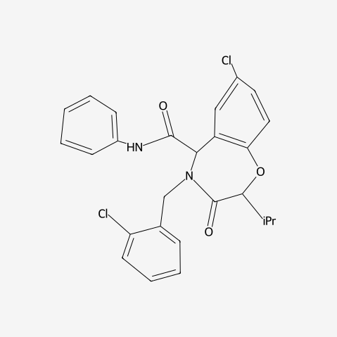 CC(C)C1Oc2ccc(Cl)cc2C(C(=O)Nc2ccccc2)N(Cc2ccccc2Cl)C1=O